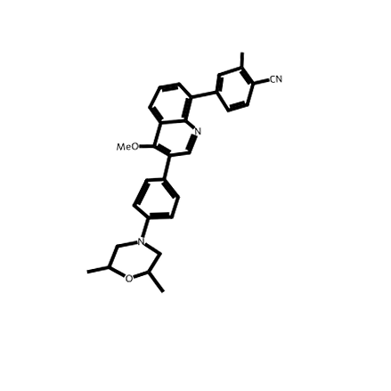 COc1c(-c2ccc(N3CC(C)OC(C)C3)cc2)cnc2c(-c3ccc(C#N)c(C)c3)cccc12